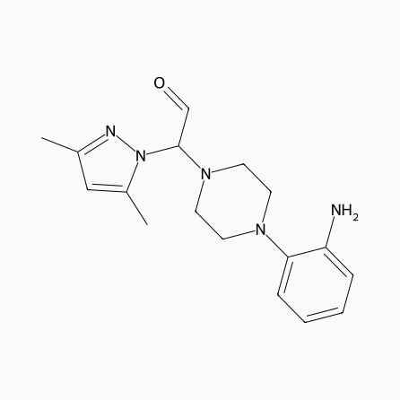 Cc1cc(C)n(C(C=O)N2CCN(c3ccccc3N)CC2)n1